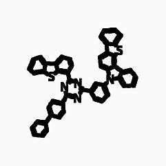 c1ccc(-c2ccc(-c3nc(-c4cccc(-n5c6ccccc6c6c7sc8ccccc8c7ccc65)c4)nc(-c4cccc5c4sc4ccccc45)n3)cc2)cc1